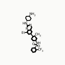 CCc1cc(-c2ccc(NS(=O)(=O)c3ccccc3C(F)(F)F)cc2C)cc2cnc(N[C@H]3CC[C@H](N)CC3)nc12